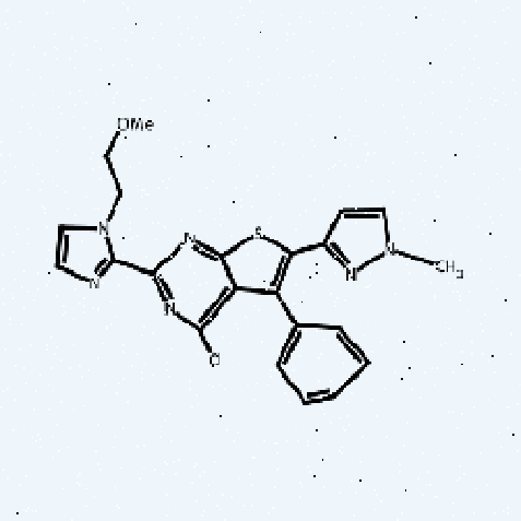 COCCn1ccnc1-c1nc(Cl)c2c(-c3ccccc3)c(-c3ccn(C)n3)sc2n1